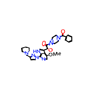 COc1cnc(-n2ccc(CN3CCCCC3)n2)c2[nH]cc(C(=O)C(=O)N3CCN(C(=O)c4ccccc4)CC3)c12